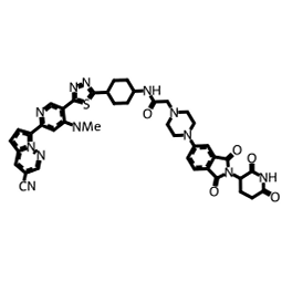 CNc1cc(-c2ccc3cc(C#N)cnn23)ncc1-c1nnc(C2CCC(NC(=O)CN3CCN(c4ccc5c(c4)C(=O)N(C4CCC(=O)NC4=O)C5=O)CC3)CC2)s1